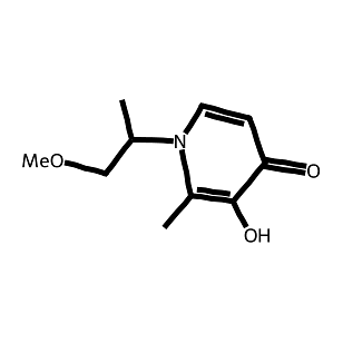 COCC(C)n1ccc(=O)c(O)c1C